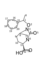 CC(ON1C(=O)N2CC1CC[C@@H]2C(=O)O)c1ccccc1